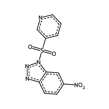 O=[N+]([O-])c1ccc2nnn(S(=O)(=O)c3cccnc3)c2c1